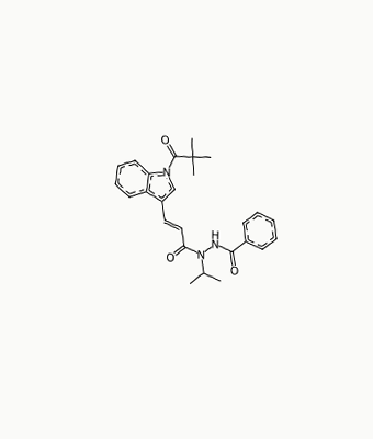 CC(C)N(NC(=O)c1ccccc1)C(=O)C=Cc1cn(C(=O)C(C)(C)C)c2ccccc12